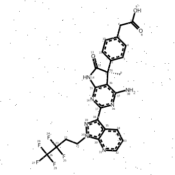 C[C@@]1(c2ccc(CC(=O)O)cc2)C(=O)Nc2nc(-c3nn(CCC(F)(F)C(F)(F)F)c4ncccc34)nc(N)c21